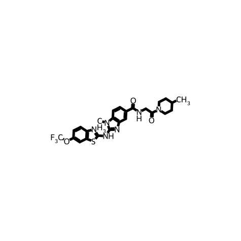 CC1CCN(C(=O)CNC(=O)c2ccc3c(c2)nc(Nc2nc4ccc(OC(F)(F)F)cc4s2)n3C)CC1